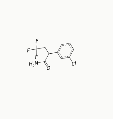 NC(=O)C(CC(F)(F)F)c1cccc(Cl)c1